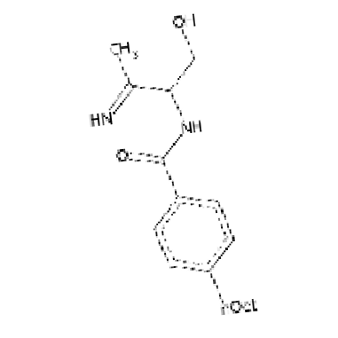 CCCCCCCCc1ccc(C(=O)NC(CO)C(C)=N)cc1